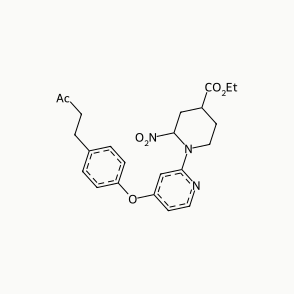 CCOC(=O)C1CCN(c2cc(Oc3ccc(CCC(C)=O)cc3)ccn2)C([N+](=O)[O-])C1